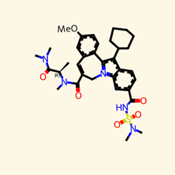 COc1ccc2c(c1)C=C(C(=O)N(C)[C@H](C)C(=O)N(C)C)Cn1c-2c(C2CCCCC2)c2ccc(C(=O)NS(=O)(=O)N(C)C)cc21